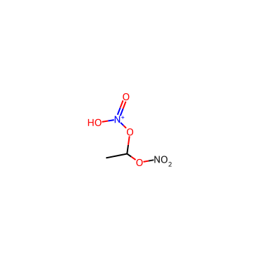 CC(O[N+](=O)[O-])O[N+](=O)O